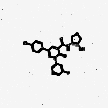 O=C(N[C@@H]1COC[C@@H]1O)c1cc(-c2ccc(Cl)cc2)nn(-c2cncc(F)c2)c1=O